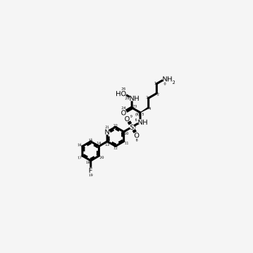 NCCCC[C@@H](NS(=O)(=O)c1ccc(-c2cccc(F)c2)nc1)C(=O)NO